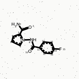 NC(=O)c1cccn1NC(=O)c1ccc(F)cc1